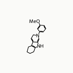 COc1cccc(N2C=c3[nH]c4c(c3=CC2)CCCC4)c1